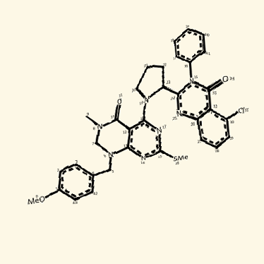 COc1ccc(CN2CN(C)C(=O)c3c2nc(SC)nc3N2CCCC2c2nc3cccc(Cl)c3c(=O)n2-c2ccccc2)cc1